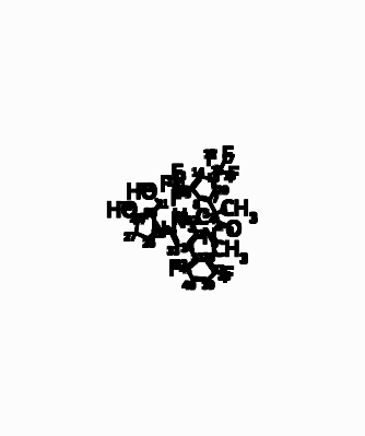 CN(C(=O)C(C)(C)c1cc(C(F)(F)F)cc(C(F)(F)F)c1)c1cnc(N2CC[C@H](O)[C@H]2CO)cc1-c1cc(F)ccc1F